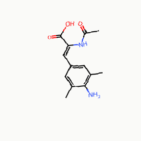 CC(=O)NC(=Cc1cc(C)c(N)c(C)c1)C(=O)O